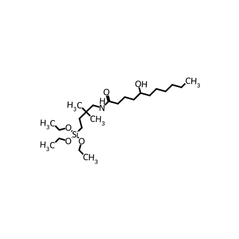 CCCCCCC(O)CCCC(=O)NCC(C)(C)CC[Si](OCC)(OCC)OCC